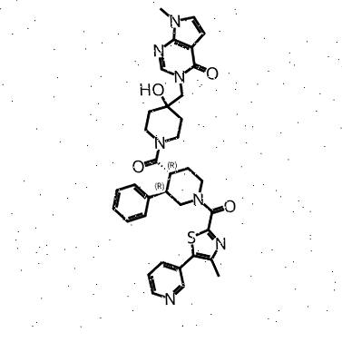 Cc1nc(C(=O)N2CC[C@@H](C(=O)N3CCC(O)(Cn4cnc5c(ccn5C)c4=O)CC3)[C@H](c3ccccc3)C2)sc1-c1cccnc1